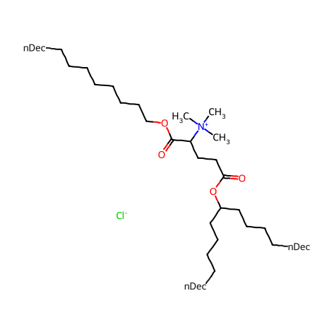 CCCCCCCCCCCCCCCCCCOC(=O)C(CCC(=O)OC(CCCCCCCCCCCCCC)CCCCCCCCCCCCCC)[N+](C)(C)C.[Cl-]